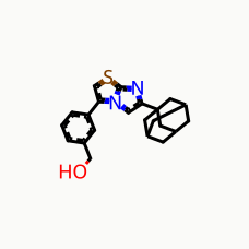 OCc1cccc(-c2csc3nc(C45CC6CC(CC(C6)C4)C5)cn23)c1